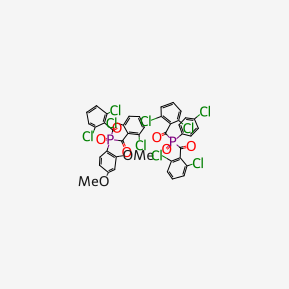 COc1ccc(P(=O)(C(=O)c2c(Cl)cccc2Cl)C(=O)c2c(Cl)cccc2Cl)c(OC)c1.O=C(c1c(Cl)cccc1Cl)P(=O)(C(=O)c1c(Cl)cccc1Cl)c1ccc(Cl)cc1